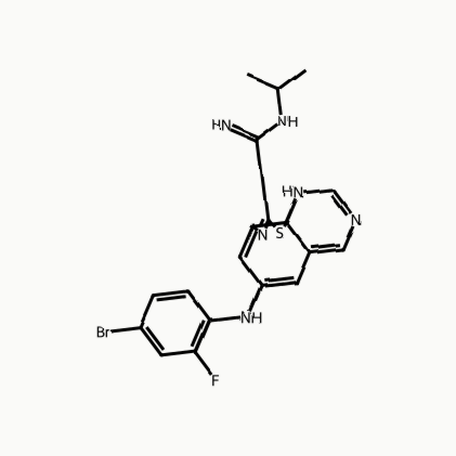 CC(C)NC(=N)C1=NC2=CC(Nc3ccc(Br)cc3F)=CC3=CN=CNC32S1